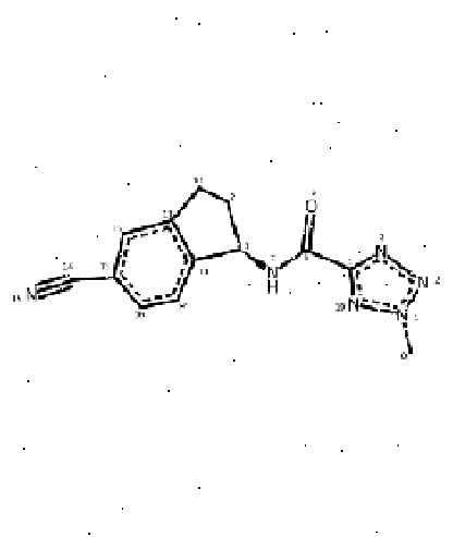 Cn1nnc(C(=O)N[C@@H]2CCc3cc(C#N)ccc32)n1